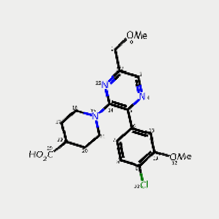 COCc1cnc(-c2ccc(Cl)c(OC)c2)c(N2CCC(C(=O)O)CC2)n1